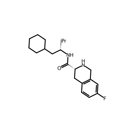 CC(C)[C@@H](CC1CCCCC1)NC(=O)[C@H]1Cc2ccc(F)cc2CN1